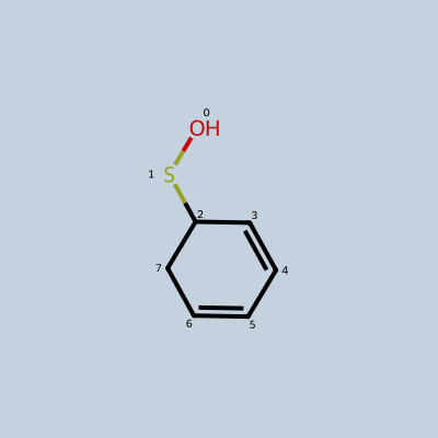 OSC1C=CC=CC1